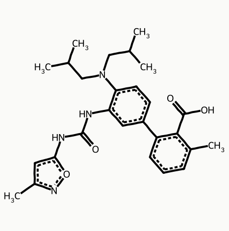 Cc1cc(NC(=O)Nc2cc(-c3cccc(C)c3C(=O)O)ccc2N(CC(C)C)CC(C)C)on1